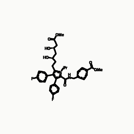 COC(=O)C[C@H](O)C[C@H](O)CCc1c(-c2ccc(F)cc2)c(-c2ccc(F)cc2)c(C(=O)NCc2ccc(C(=O)OC)cc2)n1C(C)C